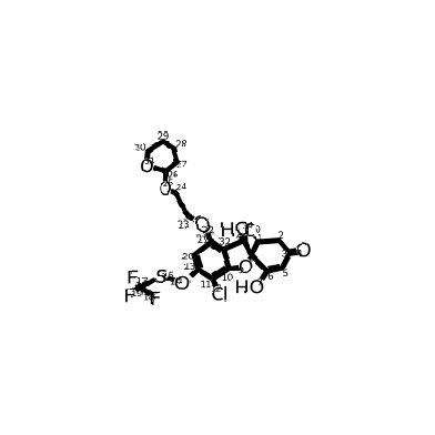 C[C@@H]1CC(=O)C=C(O)[C@@]12Oc1c(Cl)c(OSC(F)(F)F)cc(OCCOC3CCCCO3)c1C2=O